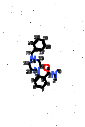 CN(C)C(=O)c1ccccc1N1CCN(Cc2ccccc2)CC1